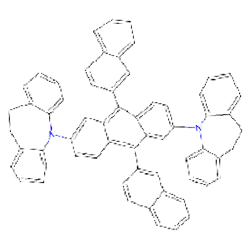 c1ccc2c(c1)CCc1ccccc1N2c1ccc2c(-c3ccc4ccccc4c3)c3cc(N4c5ccccc5CCc5ccccc54)ccc3c(-c3ccc4ccccc4c3)c2c1